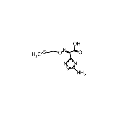 CSCCO/N=C(/C(=O)O)c1nsc(N)n1